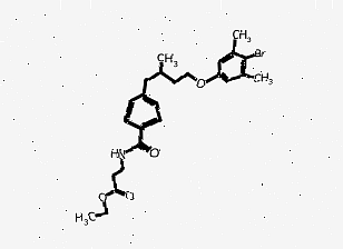 CCOC(=O)CCNC(=O)c1ccc(CC(C)CCOc2cc(C)c(Br)c(C)c2)cc1